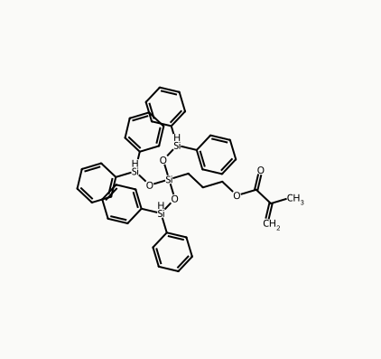 C=C(C)C(=O)OCCC[Si](O[SiH](c1ccccc1)c1ccccc1)(O[SiH](c1ccccc1)c1ccccc1)O[SiH](c1ccccc1)c1ccccc1